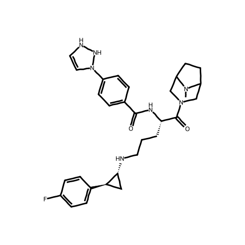 CN1C2CCC1CN(C(=O)[C@H](CCCN[C@@H]1C[C@H]1c1ccc(F)cc1)NC(=O)c1ccc(N3C=CNN3)cc1)C2